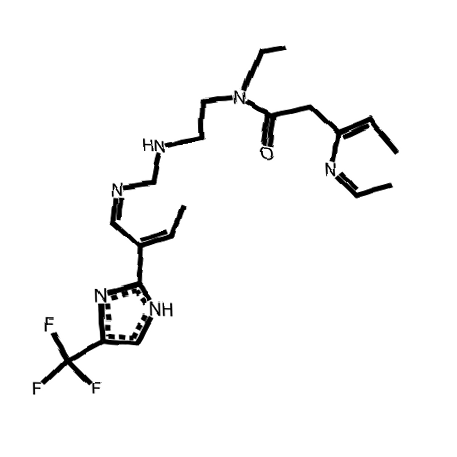 C/C=N\C(=C/C)CC(=O)N(CC)CCNC/N=C\C(=C/C)c1nc(C(F)(F)F)c[nH]1